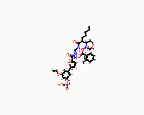 CCCCCC(C(=O)NCNC(=O)c1ccc(-c2cc(OCC)cc(O[PH](=O)O)c2)o1)C(CC)N(C=O)OC(=O)c1c(C)cccc1F